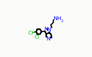 NCCCCn1nc(-c2ccc(Cl)c(Cl)c2)c2cnccc21